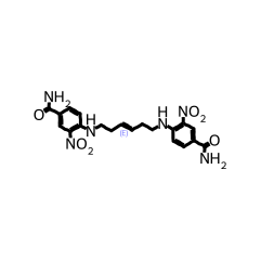 NC(=O)c1ccc(NCC/C=C/CCNc2ccc(C(N)=O)cc2[N+](=O)[O-])c([N+](=O)[O-])c1